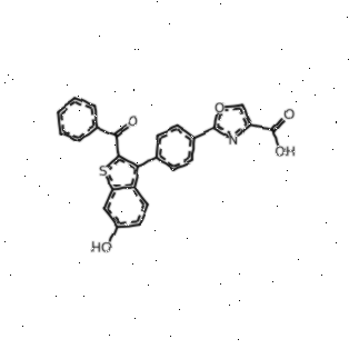 O=C(O)c1coc(-c2ccc(-c3c(C(=O)c4ccccc4)sc4cc(O)ccc34)cc2)n1